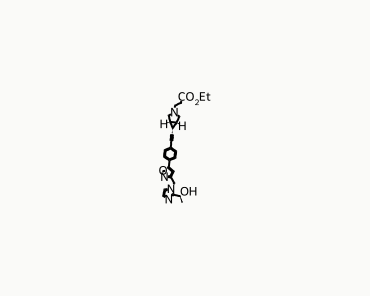 CCOC(=O)CCN1C[C@@H]2[C@@H](C#Cc3ccc(-c4cc(Cn5ccnc5[C@H](C)O)no4)cc3)[C@@H]2C1